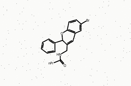 CCCC(=O)NCC1=Cc2cc(Br)ccc2OC1c1ccccc1